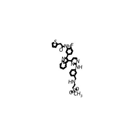 CS(=O)(=O)CCNCc1cccc(Nc2nccc(-c3c(-c4ccc(F)c(NC(=O)Cc5cccs5)c4)nn4ccccc34)n2)c1